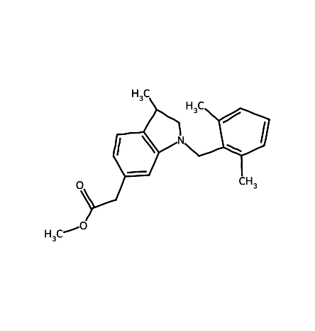 COC(=O)Cc1ccc2c(c1)N(Cc1c(C)cccc1C)CC2C